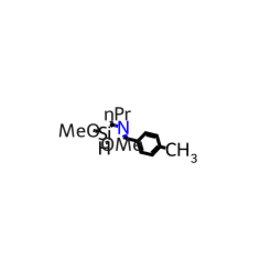 CCCC(N=Cc1ccc(C)cc1)[SiH](OC)OC